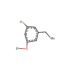 CCOc1cc(Br)cc(CC(C)(C)C)c1